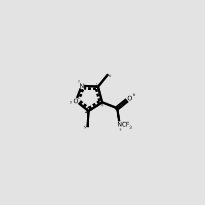 Cc1noc(C)c1C(=O)NC(F)(F)F